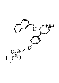 CS(=O)(=O)OCCOc1ccc(C2CCNCC2OCc2ccc3ccccc3c2)cc1